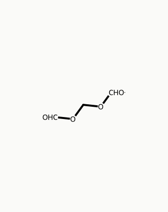 O=[C]OCOC=O